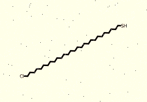 SCCCCCCCCCCCCCCCCCCCCCCCCCCCCCl